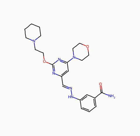 NC(=O)c1cccc(NN=Cc2cc(N3CCOCC3)nc(OCCN3CCCCC3)n2)c1